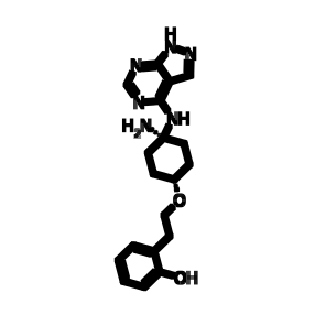 N[C@]1(Nc2ncnc3[nH]ncc23)CC[C@H](OCCc2ccccc2O)CC1